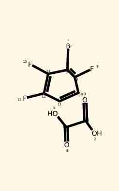 O=C(O)C(=O)O.[B]c1c(F)ccc(F)c1F